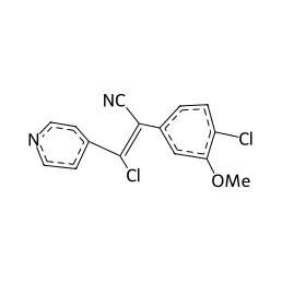 COc1cc(C(C#N)=C(Cl)c2ccncc2)ccc1Cl